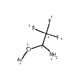 CC(=O)OC(N)C(F)(F)F